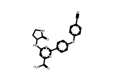 N#Cc1ccc(Oc2ccc(-c3nc(NC4CCNC4=O)cc(C(N)=O)n3)cc2)cc1